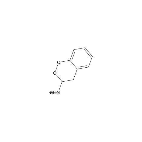 C[N]C1Cc2ccccc2OO1